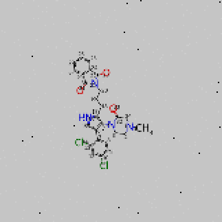 CN1CCN(c2c(-c3ccc(Cl)cc3Cl)c[nH]c2CCCN2C(=O)c3ccccc3C2=O)C(=O)C1